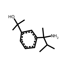 CC(C)C(C)(N)c1cccc(C(C)(C)O)c1